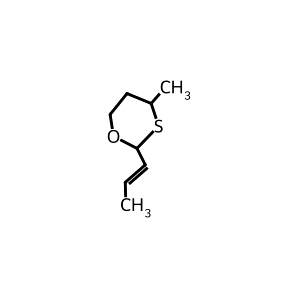 C/C=C/C1OCCC(C)S1